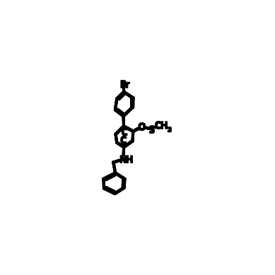 CSOC1CC2(NCc3ccccc3)CCC1(c1ccc(Br)cc1)CC2